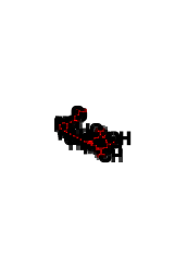 CC1COC(c2ccc(OCCCC3C[C@H]4[C@@H](CCc5nn[nH]c53)[C@H]4COC(=O)NCCCCCCNc3c(F)c(F)c(-c4c5nc(c(-c6cccc(O)c6)c6ccc([nH]6)c(-c6cccc(O)c6)c6nc(c(-c7cccc(O)c7)c7ccc4[nH]7)C=C6)C=C5)c(F)c3F)cc2)O1